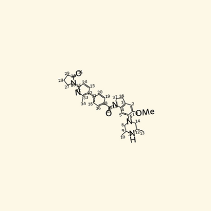 COc1cc2c(cc1N1CC(C)NC(C)C1)N(C(=O)c1ccc(-c3ccc(N4CCCC4=O)nc3C)cc1)CC2